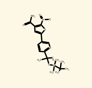 CC(C)(O[Si](C)(C)C(C)(C)C)c1ccc(-c2cc(C(N)=O)c([N+](=O)[O-])s2)cn1